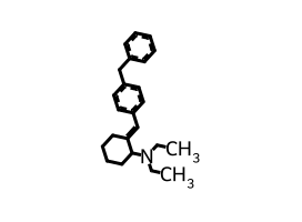 CCN(CC)C1CCCCC1=Cc1ccc(Cc2ccccc2)cc1